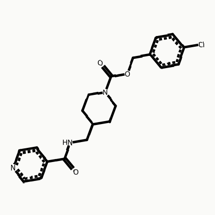 O=C(NCC1CCN(C(=O)OCc2ccc(Cl)cc2)CC1)c1ccncc1